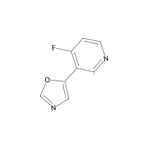 Fc1ccn[c]c1-c1cnco1